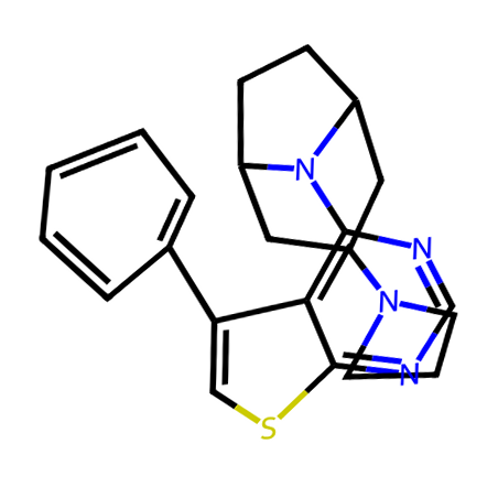 c1ccc(-c2csc3ncnc(N4C5CCC4CC(N4CCC4)C5)c23)cc1